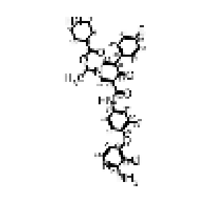 CC(OC(=O)C1CCNCC1)n1cc(C(=O)Nc2ccc(Oc3ccnc(N)c3Cl)c(F)c2)c(=O)c(-c2ccc(F)cc2)c1